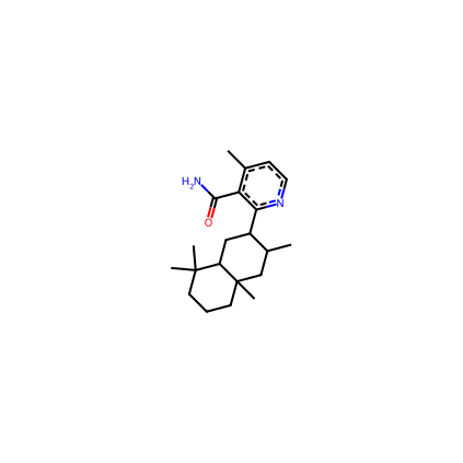 Cc1ccnc(C2CC3C(C)(C)CCCC3(C)CC2C)c1C(N)=O